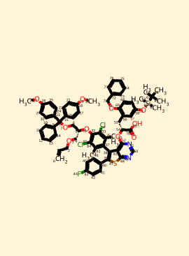 C=CCOC[C@H](COC(c1ccccc1)(c1ccc(OC)cc1)c1ccc(OC)cc1)Oc1c(Cl)c(C)c(-c2c(-c3ccc(F)cc3)sc3ncnc(O[C@H](Cc4cc(O[Si](C)(C)C(C)(C)C)ccc4OCc4ccccc4)C(=O)O)c23)c(C)c1Cl